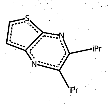 CC(C)c1nc2ccsc2nc1C(C)C